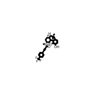 CN1CC[C@]23c4c5ccc(O)c4O[C@H]2[C@@H](N(C)C(=O)C#Cc2ccc(C(F)(F)F)cc2)CC[C@H]3[C@H]1C5